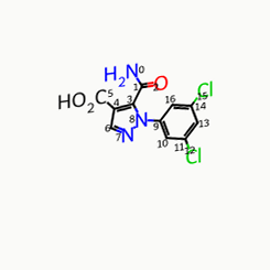 NC(=O)c1c(C(=O)O)cnn1-c1cc(Cl)cc(Cl)c1